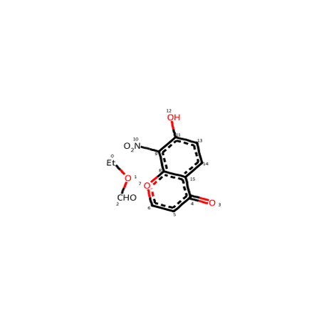 CCOC=O.O=c1ccoc2c([N+](=O)[O-])c(O)ccc12